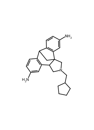 Nc1ccc2c(c1)C1CN(CC3CCCC3)CC13CC2c1ccc(N)cc13